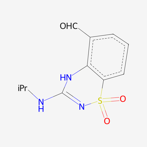 CC(C)NC1=NS(=O)(=O)c2cccc(C=O)c2N1